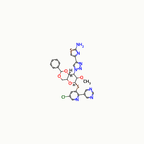 COC1C(n2cc(-c3csc(N)n3)nn2)[C@H]2OC(c3ccccc3)OCC2O[C@@H]1Sc1cc(Cl)cnc1-c1cncnc1